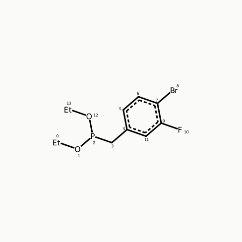 CCOP(Cc1ccc(Br)c(F)c1)OCC